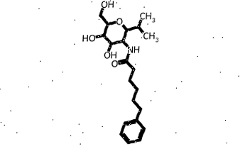 CC(C)C1OC(CO)C(O)C(O)C1NC(=O)CCCCCc1ccccc1